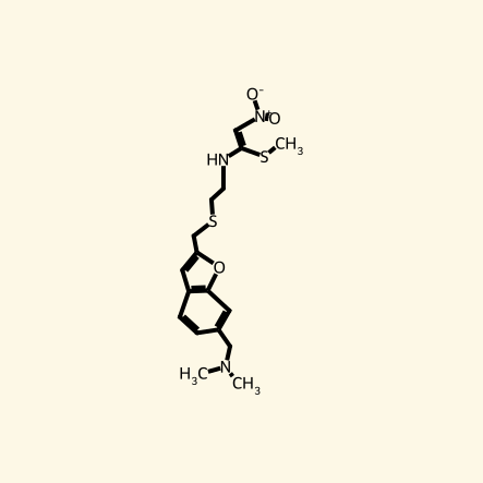 CSC(=C[N+](=O)[O-])NCCSCc1cc2ccc(CN(C)C)cc2o1